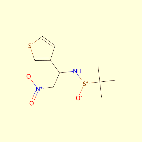 CC(C)(C)[S+]([O-])NC(C[N+](=O)[O-])c1ccsc1